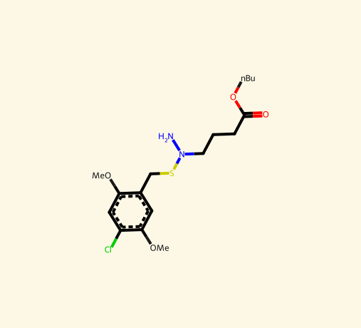 CCCCOC(=O)CCCN(N)SCc1cc(OC)c(Cl)cc1OC